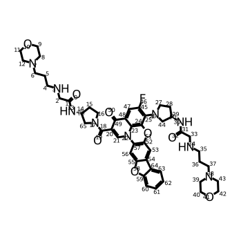 O=C(CNCCCN1CCOCC1)N[C@@H]1CCN(C(=O)c2cn3c4c(c(N5CC[C@@H](NC(=O)CNCCCN6CCOCC6)C5)c(F)cc4c2=O)Oc2cc4c(cc2-3)oc2ccccc24)C1